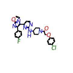 O=C(COc1ccc(Cl)cc1)N1CCC(Nc2nccc(-c3c(-c4ccc(F)cc4)nc4occn34)n2)CC1